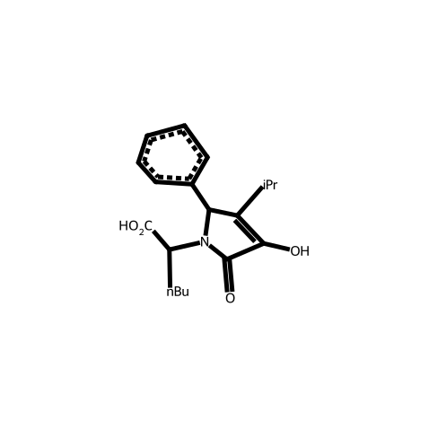 CCCCC(C(=O)O)N1C(=O)C(O)=C(C(C)C)C1c1ccccc1